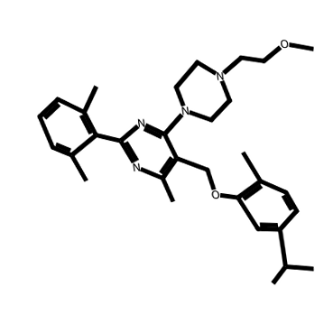 COCCN1CCN(c2nc(-c3c(C)cccc3C)nc(C)c2COc2cc(C(C)C)ccc2C)CC1